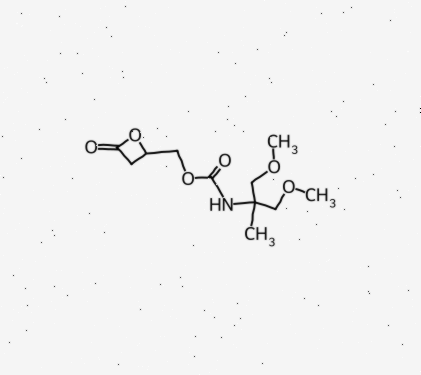 COCC(C)(COC)NC(=O)OCC1CC(=O)O1